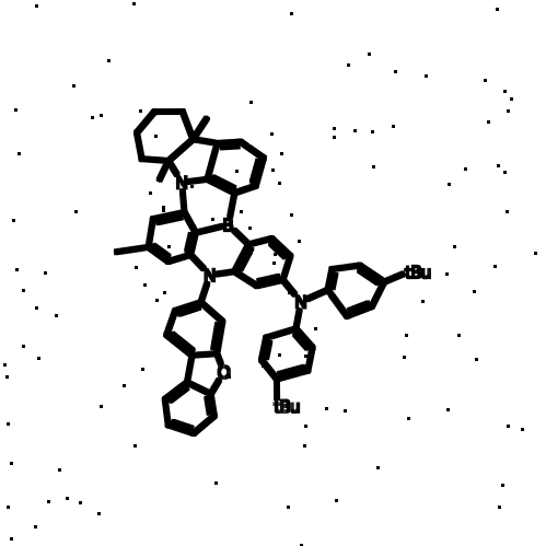 Cc1cc2c3c(c1)N1c4c(cccc4C4(C)CCCCC14C)B3c1ccc(N(c3ccc(C(C)(C)C)cc3)c3ccc(C(C)(C)C)cc3)cc1N2c1ccc2c(c1)oc1ccccc12